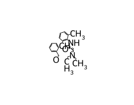 CCN(CC)CC(=O)Nc1c(C)cccc1C.O=Cc1ccccc1